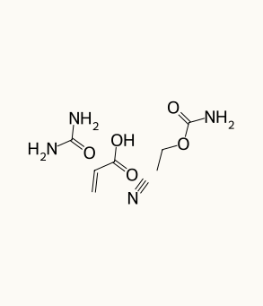 C#N.C=CC(=O)O.CCOC(N)=O.NC(N)=O